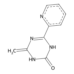 C=C1N=C(c2ccccn2)NC(=O)N1